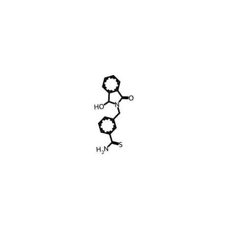 NC(=S)c1cccc(CN2C(=O)c3ccccc3C2O)c1